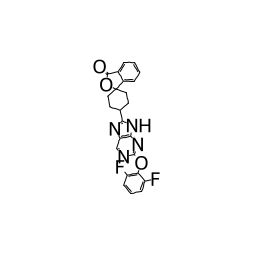 O=C1OC2(CCC(c3nc4cnc(Oc5c(F)cccc5F)nc4[nH]3)CC2)c2ccccc21